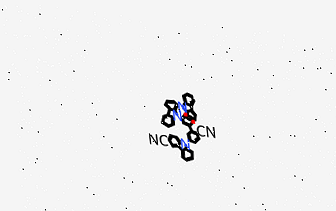 N#Cc1ccc2c(c1)c1ccccc1n2-c1ccc(C#N)c(-c2cccc(-n3c4ccccc4c4cccc(-n5c6ccccc6c6ccccc65)c43)c2)c1